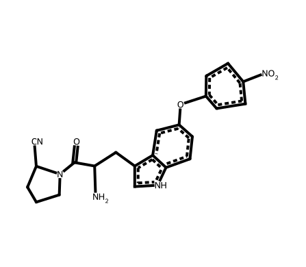 N#CC1CCCN1C(=O)C(N)Cc1c[nH]c2ccc(Oc3ccc([N+](=O)[O-])cc3)cc12